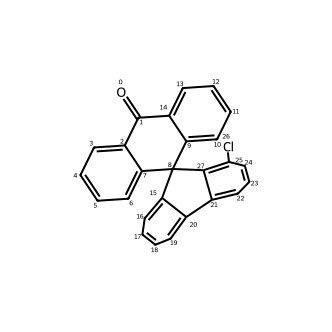 O=C1c2ccccc2C2(c3ccccc31)c1ccccc1-c1cccc(Cl)c12